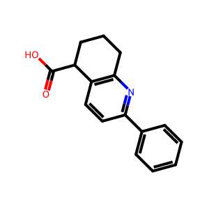 O=C(O)C1CCCc2nc(-c3ccccc3)ccc21